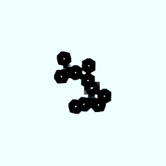 c1ccc(-c2cc3nc(-c4ccccc4)c(-n4c5ccccc5c5cc6ccccc6cc54)nc3cc2-c2ccc3c(c2)c2ccccc2n3-c2ccccc2)cc1